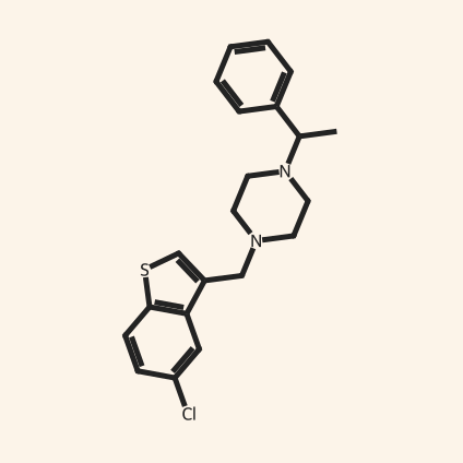 CC(c1ccccc1)N1CCN(Cc2csc3ccc(Cl)cc23)CC1